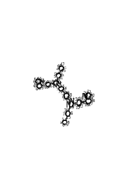 c1ccc(-c2ccc(-c3cc(-c4ccc(-c5cccc6cccnc56)cc4)nc(-c4ccc(-c5ccc(-c6nc(-c7ccc(-c8ccccc8)cc7)cc(-c7ccc(-c8cccc9cccnc89)cc7)n6)cc5)cc4)n3)cc2)cc1